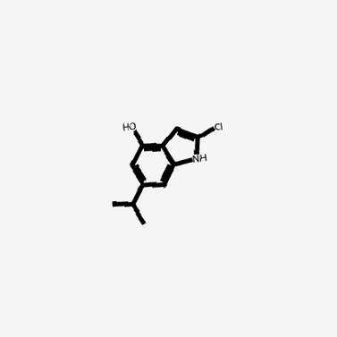 CC(C)c1cc(O)c2cc(Cl)[nH]c2c1